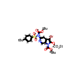 CCOC(=O)Oc1c(Br)c2cc(N(C(=O)OC(C)(C)C)S(=O)(=O)c3ccc(C(C)(C)C)cc3)ncc2n1C(=O)OC(C)(C)C